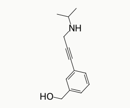 CC(C)NCC#Cc1cccc(CO)c1